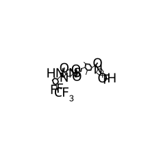 Cc1cc(C(=O)N2CCC(O)(CF)CC2)cc(C)c1C=CS(=O)(=O)N1CCC2(CC1)N=C(c1cccc(C(F)(F)C(F)(F)F)c1)NC2=O